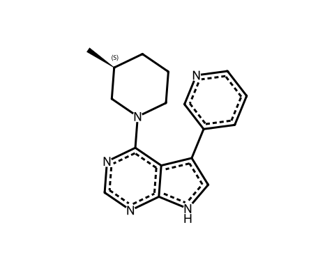 C[C@H]1CCCN(c2ncnc3[nH]cc(-c4cccnc4)c23)C1